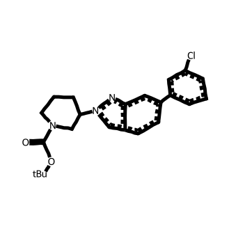 CC(C)(C)OC(=O)N1CCCC(n2cc3ccc(-c4cccc(Cl)c4)cc3n2)C1